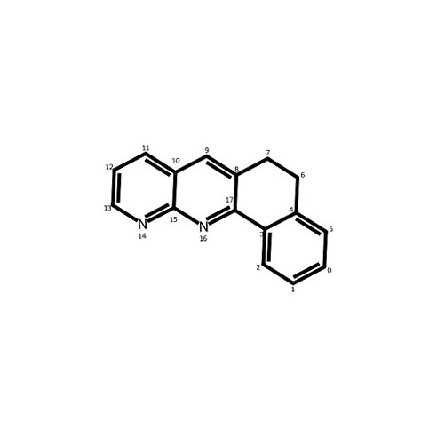 c1ccc2c(c1)CCc1cc3cccnc3nc1-2